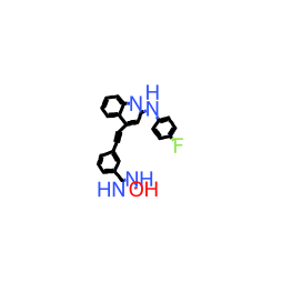 N=C(NO)c1cccc(C#Cc2cc(Nc3ccc(F)cc3)nc3ccccc23)c1